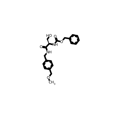 COCc1ccc(CNC(=O)[C@@H](CO)NC(=O)OCc2ccccc2)cc1